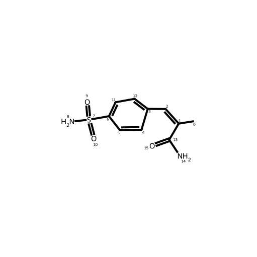 CC(=Cc1ccc(S(N)(=O)=O)cc1)C(N)=O